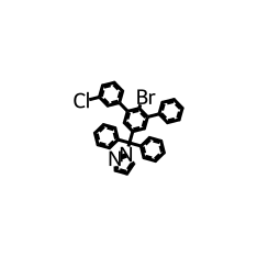 Clc1cccc(-c2cc(C(c3ccccc3)(c3ccccc3)n3cccn3)cc(-c3ccccc3)c2Br)c1